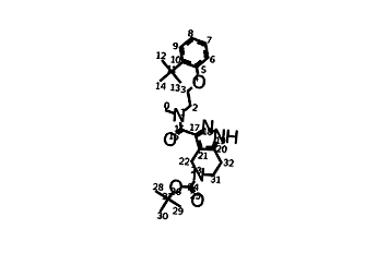 CN(CCOc1ccccc1C(C)(C)C)C(=O)c1n[nH]c2c1CN(C(=O)OC(C)(C)C)CC2